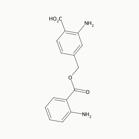 Nc1cc(COC(=O)c2ccccc2N)ccc1C(=O)O